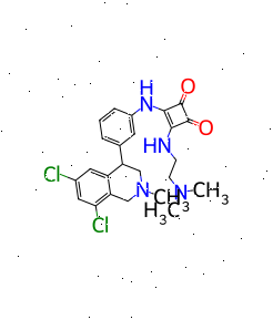 CN(C)CCNc1c(Nc2cccc(C3CN(C)Cc4c(Cl)cc(Cl)cc43)c2)c(=O)c1=O